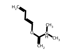 C=CC=COC(=C)[SiH](C)C